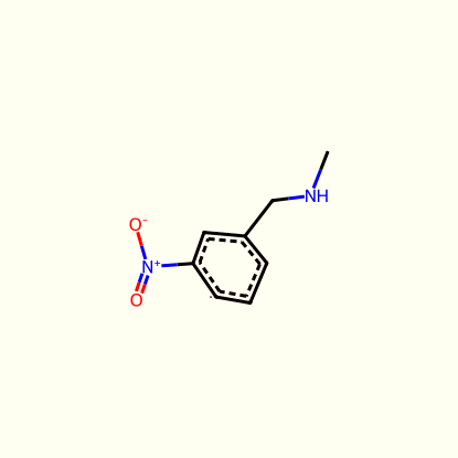 CNCc1cc[c]c([N+](=O)[O-])c1